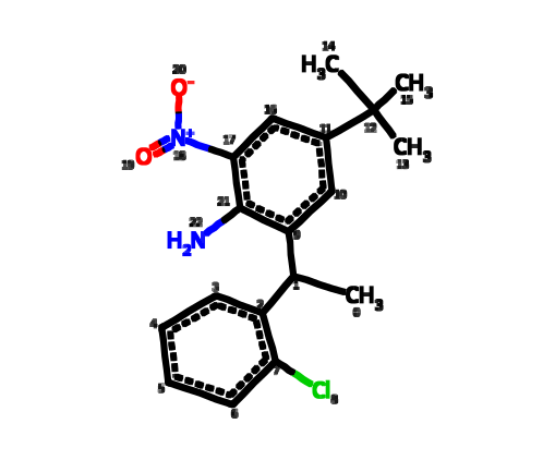 CC(c1ccccc1Cl)c1cc(C(C)(C)C)cc([N+](=O)[O-])c1N